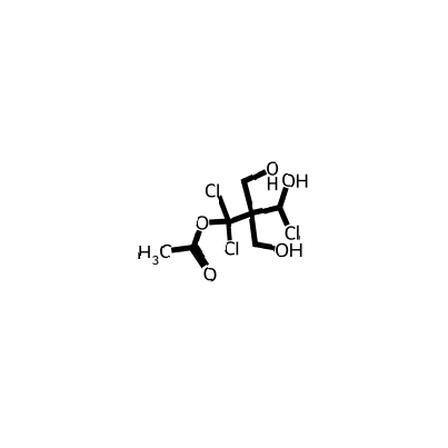 CC(=O)OC(Cl)(Cl)C(CO)(CO)C(O)Cl